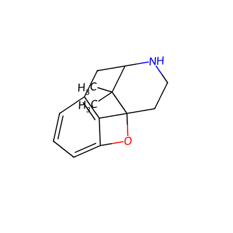 CC1(C)C2Cc3cccc4c3C1(CCN2)O4